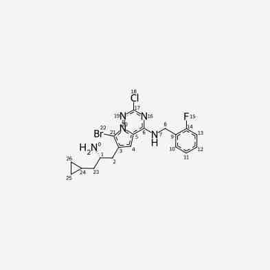 N[C@H](Cc1cc2c(NCc3ccccc3F)nc(Cl)nn2c1Br)CC1CC1